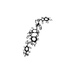 CN1C(=O)c2cc(NC(=O)c3ccc(C(F)(F)F)cc3)ccc2OC[C@@H]2O[C@H](CC(=O)NC3Cc4ccccc4C3)CC[C@H]21